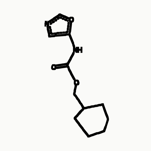 O=C(Nc1cnco1)OCC1CCCCC1